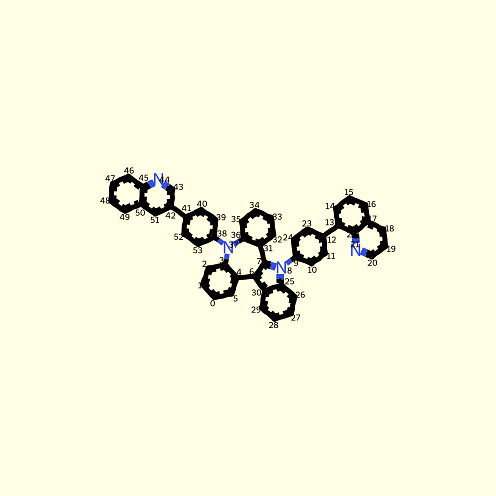 c1ccc2c(c1)-c1c(n(-c3ccc(-c4cccc5cccnc45)cc3)c3ccccc13)-c1ccccc1N2c1ccc(-c2cnc3ccccc3c2)cc1